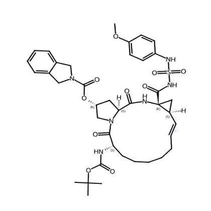 COc1ccc(NS(=O)(=O)NC(=O)[C@@]23C[C@H]2/C=C/CCCCC[C@H](NC(=O)OC(C)(C)C)C(=O)N2C[C@H](OC(=O)N4Cc5ccccc5C4)C[C@H]2C(=O)N3)cc1